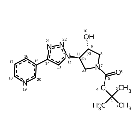 CC(C)(C)OC(=O)N1C[C@@H](O)[C@H](n2cc(-c3cccnc3)nn2)C1